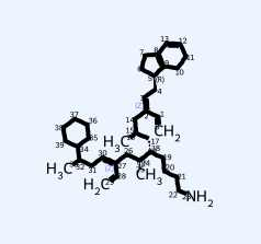 C=C/C(=C\C[C@H]1CCC2=C1CCC=C2)CC(C)C[C@H](CCCCN)[C@H](C)C/C(C=C)=C/CC(C)C1CCCCC1